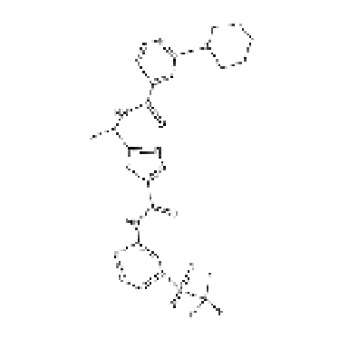 CC(NC(=O)c1cc(N2CCCCC2)ncn1)c1ncc(C(=O)Nc2cccc(S(=O)(=O)C(F)(F)F)c2)s1